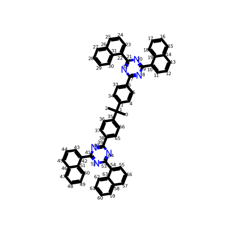 CC(C)(c1ccc(-c2nc(-c3cccc4ccccc34)nc(-c3cccc4ccccc34)n2)cc1)c1ccc(-c2nc(-c3cccc4ccccc34)nc(-c3cccc4ccccc34)n2)cc1